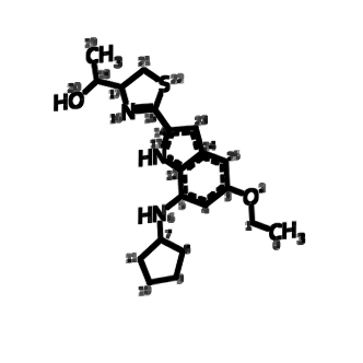 CCOc1cc(NC2CCCC2)c2[nH]c(C3=NC(C(C)O)CS3)cc2c1